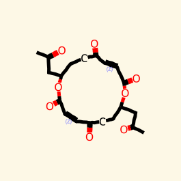 CC(=O)CC1CCC(=O)/C=C\C(=O)OC(CC(C)=O)CCC(=O)/C=C\C(=O)O1